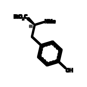 CCOC(=O)[C@H](Cc1ccc(O)cc1)NC